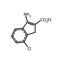 CCOC(=O)C1=C(N)c2cccc(Cl)c2C1